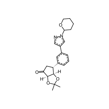 CC1(C)O[C@@H]2[C@@H](c3cccc(-c4cnn(C5CCCCO5)c4)c3)CC(=O)[C@@H]2O1